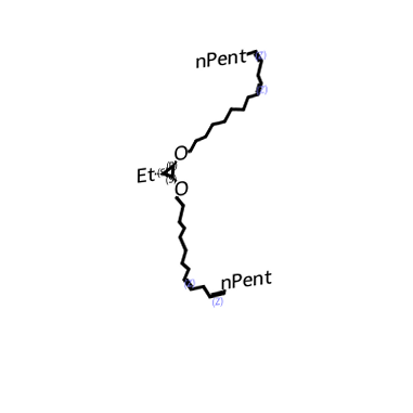 CCCCC/C=C\C/C=C\CCCCCCCCO[C@@H]1[C@@H](CC)[C@@H]1OCCCCCCCC/C=C\C/C=C\CCCCC